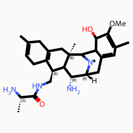 COC1=C(C)C=C2C[C@@H]3[C@H](N)C4[C@@H](CNC(=O)[C@H](C)N)C5=C(CC(C)=CC5)C[C@@]4(C)C(C2C1O)N3C